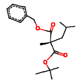 CC(C)C[C@@](C)(C(=O)OCc1ccccc1)C(=O)OC(C)(C)C